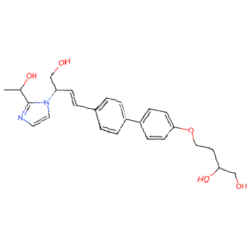 CC(O)c1nccn1C(/C=C/c1ccc(-c2ccc(OCCC(O)CO)cc2)cc1)CO